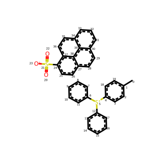 Cc1ccc([S+](c2ccccc2)c2ccccc2)cc1.O=S(=O)([O-])c1ccc2ccc3cccc4ccc1c2c34